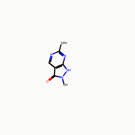 CCCn1[nH]c2nc(SC)ncc2c1=O